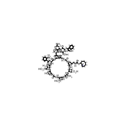 CCCCCCCCCCC(=O)N[C@@H](Cc1c[nH]c2ccccc12)C(=O)N[C@H](CC(N)=O)C(=O)N[C@@H](CC(=O)O)C(=O)N[C@@H]1C(=O)NCC(=O)N[C@@H](CCCNC(=O)OC2/C=C/CCCCC2)C(=O)N[C@@H](CC(=O)O)C(=O)N[C@H](C)C(=O)N[C@@H](CC(=O)O)C(=O)NCC(=O)N[C@H](CO)C(=O)N[C@@H](C(C)CC(=O)O)C(=O)N[C@@H](CC(=O)c2ccccc2N)C(=O)O[C@@H]1C